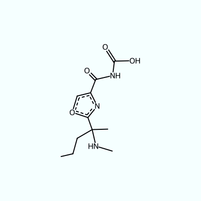 CCCC(C)(NC)c1nc(C(=O)NC(=O)O)co1